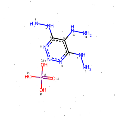 NNc1nnnc(NN)c1NN.O=P(O)(O)O